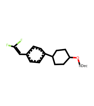 CCCCCCCCCCOC1CCC(c2ccc(C=C(F)F)cc2)CC1